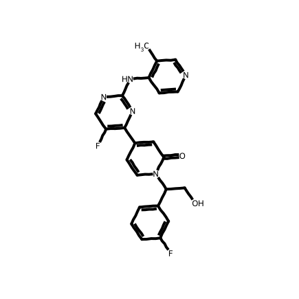 Cc1cnccc1Nc1ncc(F)c(-c2ccn(C(CO)c3cccc(F)c3)c(=O)c2)n1